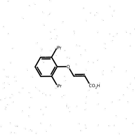 CC(C)c1cccc(C(C)C)c1O/C=C/C(=O)O